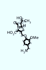 COc1cc(CN)ccc1OCC1=C(C(=O)O)N2C(=O)[C@H]([C@@H](C)O)[C@H]2S1